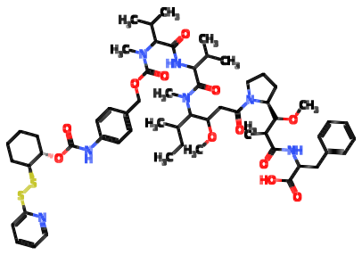 CCC(C)C(C(CC(=O)N1CCC[C@H]1C(OC)C(C)C(=O)NC(Cc1ccccc1)C(=O)O)OC)N(C)C(=O)C(NC(=O)C(C(C)C)N(C)C(=O)OCc1ccc(NC(=O)O[C@H]2CCCC[C@@H]2SSc2ccccn2)cc1)C(C)C